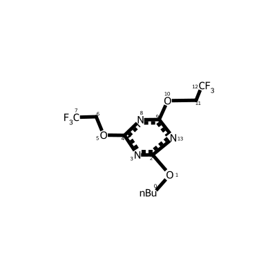 CCCCOc1nc(OCC(F)(F)F)nc(OCC(F)(F)F)n1